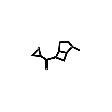 CN1CCC2C1CN2C(=O)C1CO1